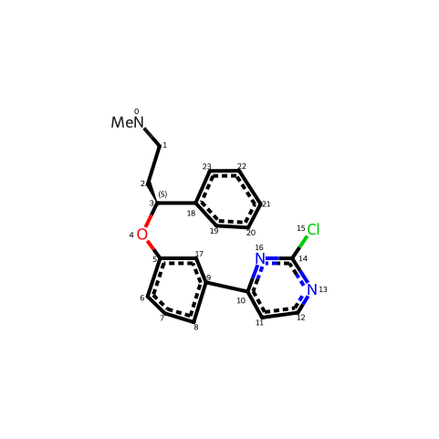 CNCC[C@H](Oc1cccc(-c2ccnc(Cl)n2)c1)c1ccccc1